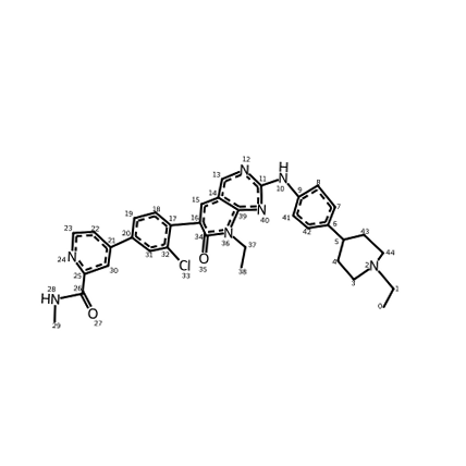 CCN1CCC(c2ccc(Nc3ncc4cc(-c5ccc(-c6ccnc(C(=O)NC)c6)cc5Cl)c(=O)n(CC)c4n3)cc2)CC1